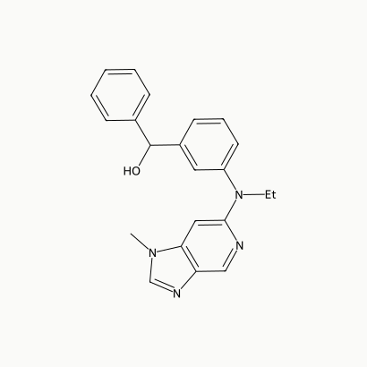 CCN(c1cccc(C(O)c2ccccc2)c1)c1cc2c(cn1)ncn2C